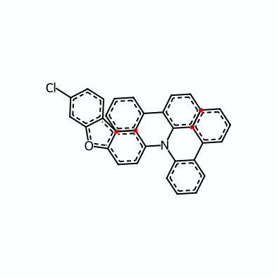 Clc1ccc2c(c1)oc1ccc(N(c3ccccc3-c3ccccc3)c3ccccc3-c3ccccc3)cc12